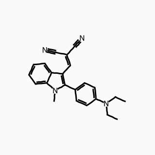 CCN(CC)c1ccc(-c2c(C=C(C#N)C#N)c3ccccc3n2C)cc1